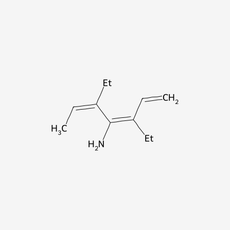 C=C/C(CC)=C(N)\C(=C/C)CC